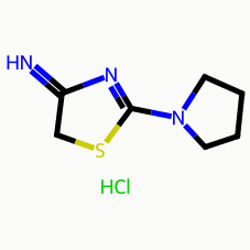 Cl.N=C1CSC(N2CCCC2)=N1